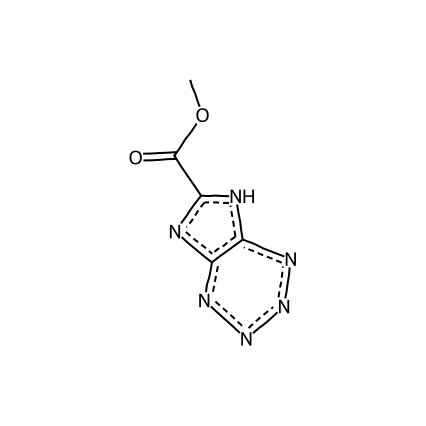 COC(=O)c1nc2nnnnc2[nH]1